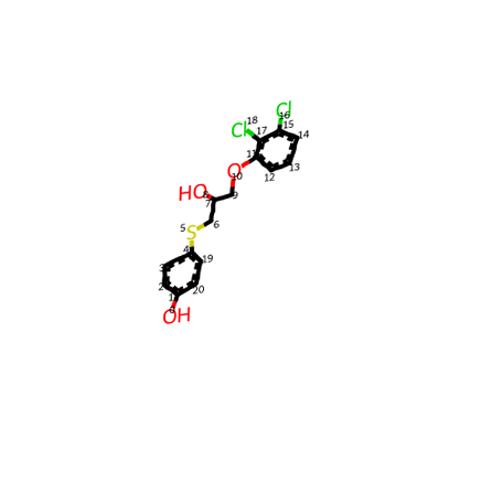 Oc1ccc(SCC(O)COc2cccc(Cl)c2Cl)cc1